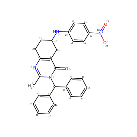 Cc1nc2c(c(=O)n1C(c1ccccc1)c1ccccc1)CC(Nc1ccc([N+](=O)[O-])cc1)CC2